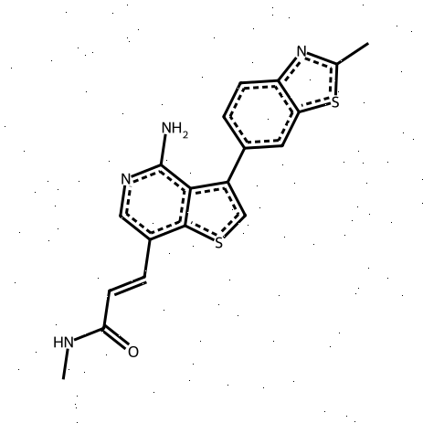 CNC(=O)/C=C/c1cnc(N)c2c(-c3ccc4nc(C)sc4c3)csc12